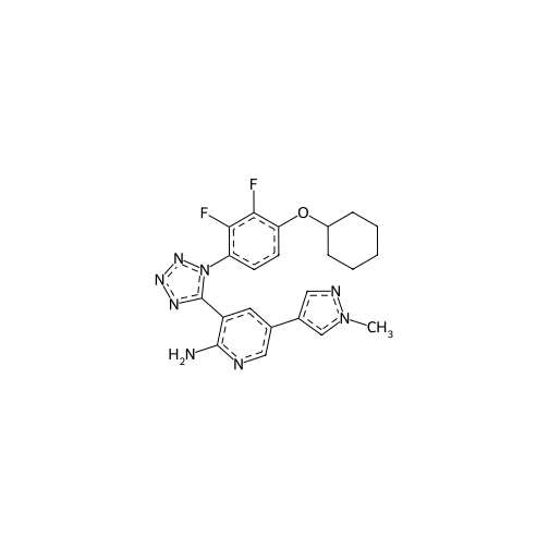 Cn1cc(-c2cnc(N)c(-c3nnnn3-c3ccc(OC4CCCCC4)c(F)c3F)c2)cn1